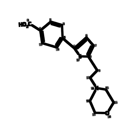 O=C(O)c1ccc(-c2ccc(CCN3CCOCC3)s2)cc1